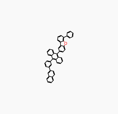 c1ccc(-c2cccc3c2oc2ccc(-c4c5ccccc5c(-c5cccc(-c6ccc7ccccc7c6)c5)c5ccccc45)cc23)cc1